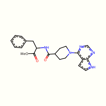 COC(=O)C(Cc1ccccc1)NC(=O)C1CCN(c2ncnc3[nH]ccc23)CC1